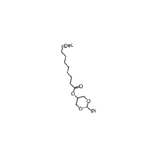 CCCCCCCCCCCCCCCCCC(=O)OC1COC(C(C)C)OC1